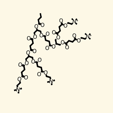 CCCC(=O)OC(COC(=O)CCC(=O)OC(COC(=O)CCC(=O)OCC[N+](C)(C)C)COC(=O)CCC(=O)OCC[N+](C)(C)C)COC(=O)CCC(=O)OC(COC(=O)CCC(=O)OCC[N+](C)(C)C)COC(=O)CCC(=O)OCC[N+](C)(C)C